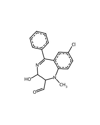 CN1c2ccc(Cl)cc2C(c2ccccc2)=NC(O)C1C=O